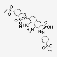 C=CS(=O)(=O)c1ccc(/N=N/c2c(S(=O)(=O)O)cc3ccc(/N=N/c4ccc(S(=O)(=O)C=C)cc4S(=O)(=O)O)c(O)c3c2N)cc1